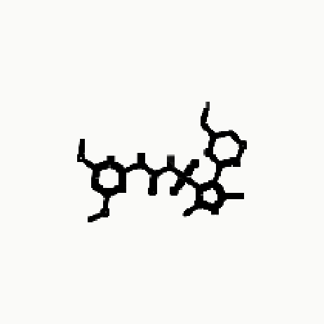 COc1cc(OC)nc(NC(=O)NS(=O)(=O)c2c(C3=NOCC(CI)O3)c(C)nn2C)n1